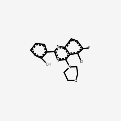 Oc1ccccc1-c1nc(N2CCOCC2)c2c(Cl)c(F)ccc2n1